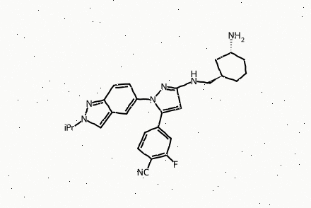 CC(C)n1cc2cc(-n3nc(NC[C@@H]4CCC[C@@H](N)C4)cc3-c3ccc(C#N)c(F)c3)ccc2n1